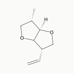 C=C[C@H]1CO[C@H]2C1OC[C@@H]2C